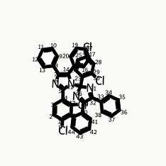 Clc1ccc(-c2nc(-c3ccccc3)c(-c3ccccc3)n2C2(c3ccc(Cl)cc3Cl)N=C(c3ccccc3)C(c3ccccc3)=N2)c(Cl)c1